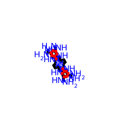 N=C(N)c1ccc2[nH]c(-c3ccc(-c4nc5cc(C(=N)N)ccc5[nH]4)n3-n3c(-c4nc5cc(C(=N)N)ccc5[nH]4)ccc3-c3nc4cc(C(=N)N)ccc4[nH]3)nc2c1